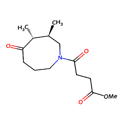 COC(=O)CCC(=O)N1CCCC(=O)[C@H](C)[C@@H](C)C1